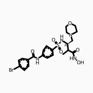 CC(C(=O)NO)[C@H](CN1CCOCC1)NS(=O)(=O)c1ccc(NC(=O)c2ccc(Br)cc2)cc1